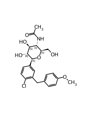 COc1ccc(Cc2cc([C@@H]3O[C@H](CO)[C@@H](NC(C)=O)[C@H](O)[C@H]3O)ccc2Cl)cc1